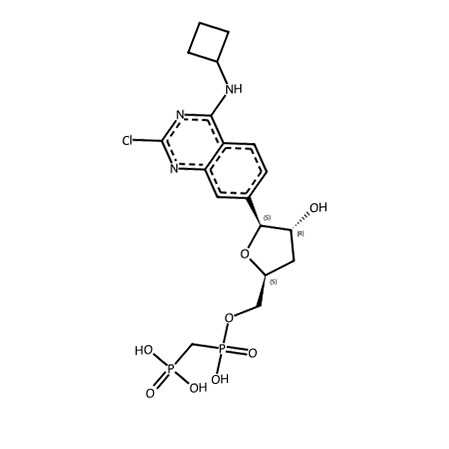 O=P(O)(O)CP(=O)(O)OC[C@@H]1C[C@@H](O)[C@H](c2ccc3c(NC4CCC4)nc(Cl)nc3c2)O1